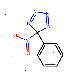 O=[N+]([O-])C1(c2ccccc2)N=NN=N1